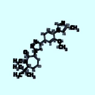 COC1=CC(c2cn([C@H]3CCC[C@@H](C(C)(C)C)N(C)C3=O)nn2)CC=C1n1cnc(C)c1